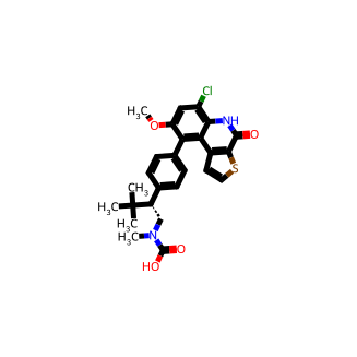 COc1cc(Cl)c2[nH]c(=O)c3sccc3c2c1-c1ccc([C@H](CN(C)C(=O)O)C(C)(C)C)cc1